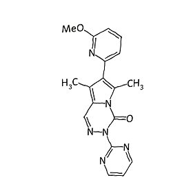 COc1cccc(-c2c(C)c3cnn(-c4ncccn4)c(=O)n3c2C)n1